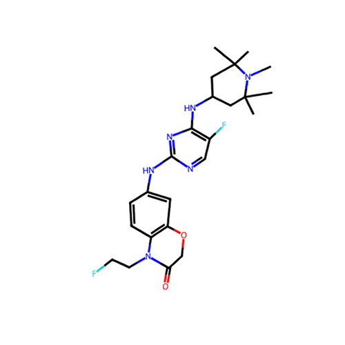 CN1C(C)(C)CC(Nc2nc(Nc3ccc4c(c3)OCC(=O)N4CCF)ncc2F)CC1(C)C